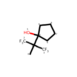 CC(C(F)(F)F)(C(F)(F)F)C1(O)CCCC1